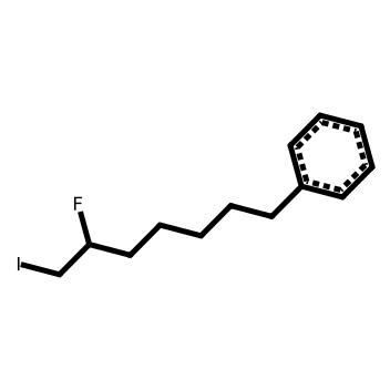 FC(CI)CCCCCc1ccccc1